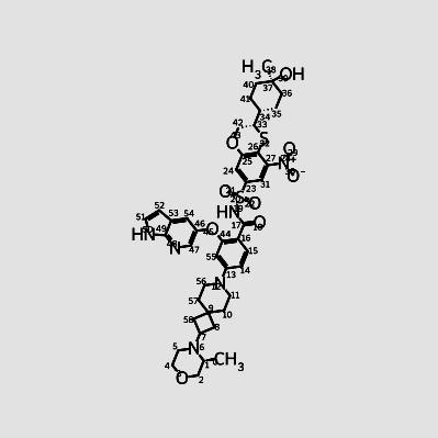 C[C@H]1COCCN1C1CC2(CCN(c3ccc(C(=O)NS(=O)(=O)c4cc5c(c([N+](=O)[O-])c4)S[C@@H]([C@H]4CC[C@](C)(O)CC4)CO5)c(Oc4cnc5[nH]ccc5c4)c3)CC2)C1